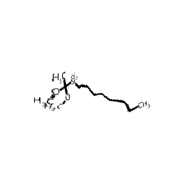 CCCCCCCC[SiH2]C(C)(OC)OC